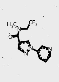 CN(CC(F)(F)F)C(=O)c1cnn(-c2cccnc2)c1